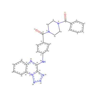 O=C(c1ccccc1)N1CCN(C(=O)c2ccc(Nc3nc4ccccc4n4nnnc34)cc2)CC1